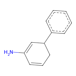 NC1=CC(c2ccccc2)CC=C1